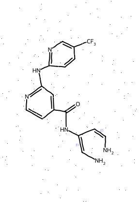 N/C=C\C(=C/N)NC(=O)c1ccnc(Nc2ccc(C(F)(F)F)cn2)c1